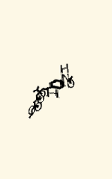 CCOC(=O)CC(=O)CC(O)(CCc1ccc(NC(C)=O)cc1)C(C)C